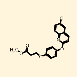 COC(=O)CCOc1ccc(Oc2ccc3cc(Cl)ccc3n2)cc1